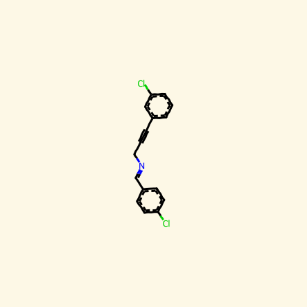 Clc1ccc(C=NCC#Cc2cccc(Cl)c2)cc1